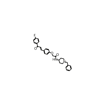 O=C(COc1ccc(C=CC(=O)c2ccc(F)cc2)cc1)NC1CCN(Cc2ccccc2)CC1